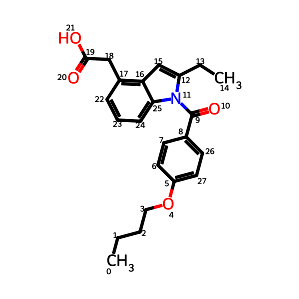 CCCCOc1ccc(C(=O)n2c(CC)cc3c(CC(=O)O)cccc32)cc1